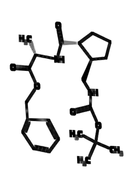 C[C@H](NC(=O)[C@@H]1CCC[C@H]1CNC(=O)OC(C)(C)C)C(=O)OCc1ccccc1